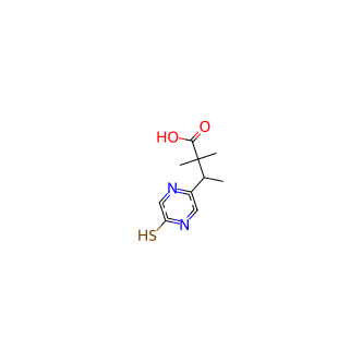 CC(c1cnc(S)cn1)C(C)(C)C(=O)O